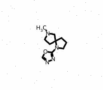 CN1CCC2(CCCN2c2nnco2)C1